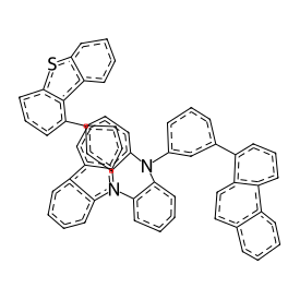 c1cc(-c2cccc3c2ccc2ccccc23)cc(N(c2ccc(-c3cccc4sc5ccccc5c34)cc2)c2ccccc2-n2c3ccccc3c3ccccc32)c1